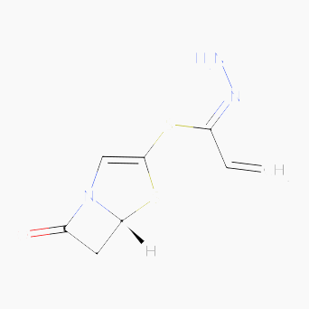 C=C/C(=N/N)SC1=CN2C(=O)C[C@H]2S1